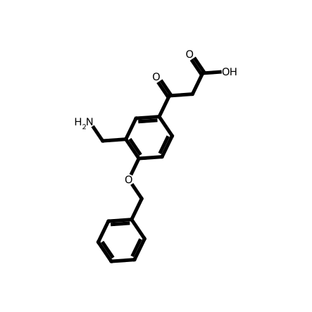 NCc1cc(C(=O)CC(=O)O)ccc1OCc1ccccc1